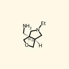 CCN1C[C@H]2COC[C@@]2(CN)C1